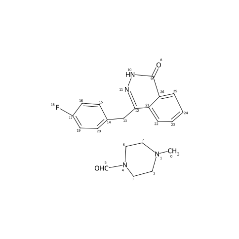 CN1CCN(C=O)CC1.O=c1[nH]nc(Cc2ccc(F)cc2)c2ccccc12